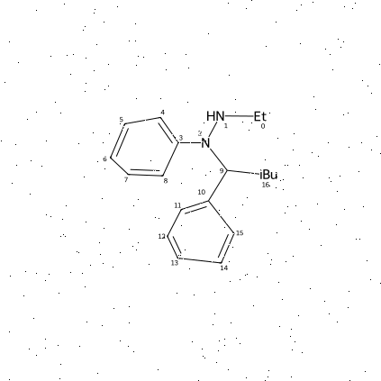 CCNN(c1ccccc1)C(c1ccccc1)C(C)CC